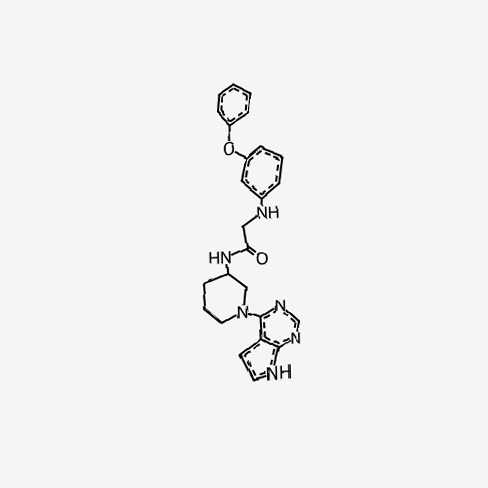 O=C(CNc1cccc(Oc2ccccc2)c1)NC1CCCN(c2ncnc3[nH]ccc23)C1